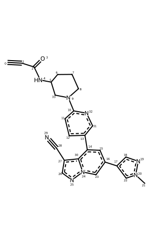 C#CC(=O)NC1CCCN(c2ccc(-c3cc(-c4cnn(C)c4)cn4ncc(C#N)c34)cn2)C1